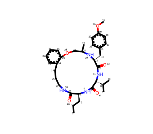 CCC[C@@H]1NC(=O)[C@@H](C(C)C)NC(=O)[C@@H](Cc2ccc(OC)cc2)NC(C)COc2ccccc2CCCNC1=O